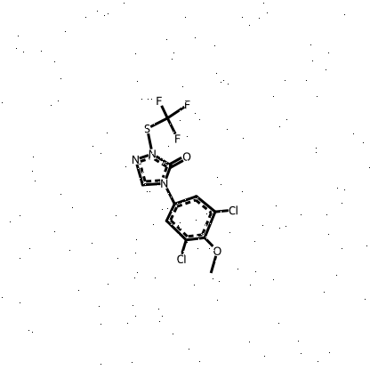 COc1c(Cl)cc(-n2cnn(SC(F)(F)F)c2=O)cc1Cl